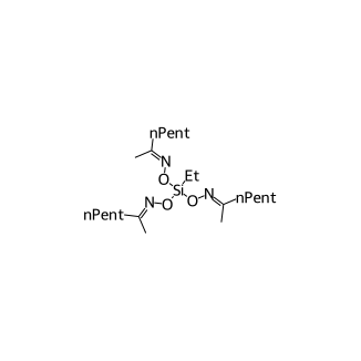 CCCCCC(C)=NO[Si](CC)(ON=C(C)CCCCC)ON=C(C)CCCCC